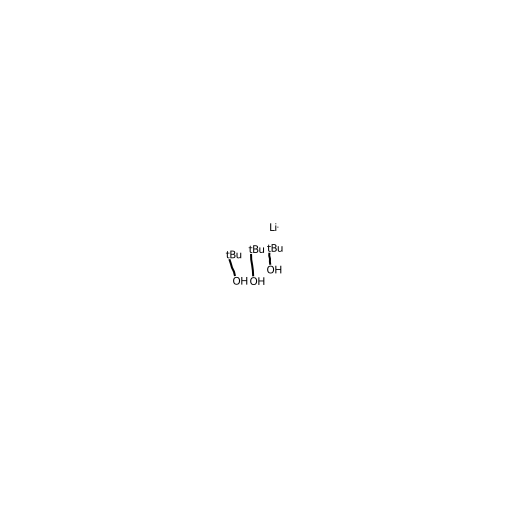 CC(C)(C)O.CC(C)(C)O.CC(C)(C)O.[Li]